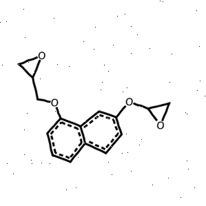 c1cc(OCC2CO2)c2cc(OC3CO3)ccc2c1